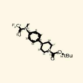 CN(C(=O)C(F)(F)F)c1ccc(C2CCN(C(=O)OC(C)(C)C)CC2)cc1